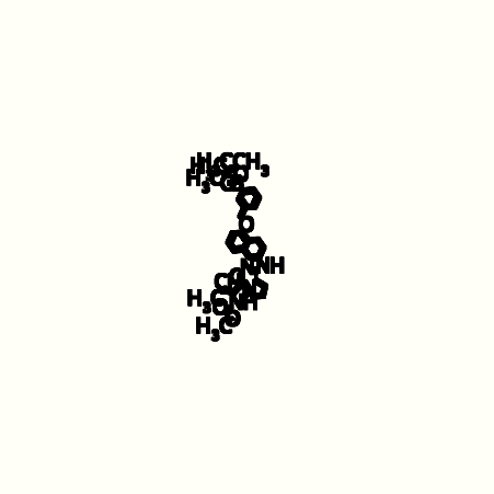 COC(=O)N[C@H](C(=O)N1CCC[C@H]1c1nc2c([nH]1)CCc1c(OCc3cccc(B4OC(C)(C)C(C)(C)O4)c3)cccc1-2)C(C)C